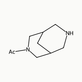 CC(=O)N1CC2CNCC(C2)C1